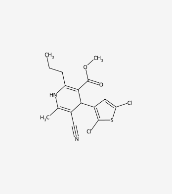 CCCC1=C(C(=O)OC)C(c2cc(Cl)sc2Cl)C(C#N)=C(C)N1